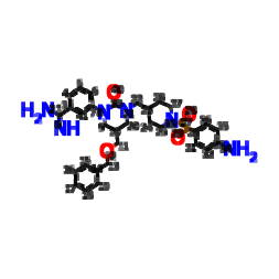 N=C(N)c1cccc(N2CC(COCc3ccccc3)CN(CC3CCN(S(=O)(=O)c4ccc(N)cc4)CC3)C2=O)c1